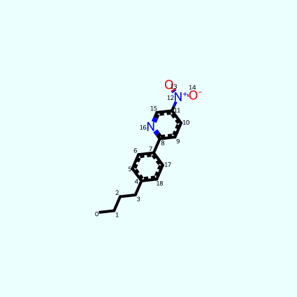 CCCCc1ccc(-c2ccc([N+](=O)[O-])cn2)cc1